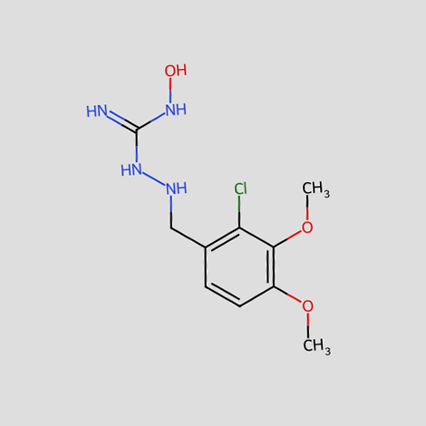 COc1ccc(CNNC(=N)NO)c(Cl)c1OC